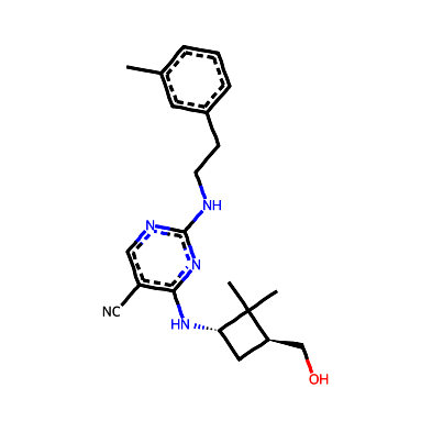 Cc1cccc(CCNc2ncc(C#N)c(N[C@H]3C[C@H](CO)C3(C)C)n2)c1